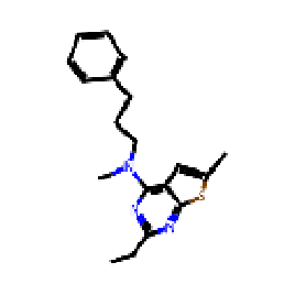 CCc1nc(N(C)CCCc2ccccc2)c2cc(C)sc2n1